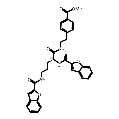 COC(=O)c1ccc(CCNC(=O)[C@H](CCCNC(=O)c2cc3ccccc3o2)NC(=O)c2cc3ccccc3o2)cc1